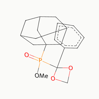 COP(=O)(C12CC3CC(CC(C3)C1)C2)C1(c2ccccc2)OCO1